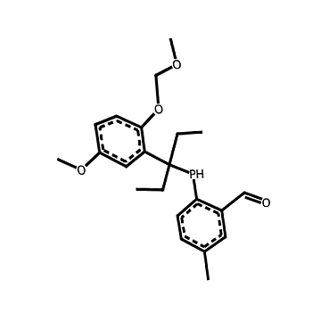 CCC(CC)(Pc1ccc(C)cc1C=O)c1cc(OC)ccc1OCOC